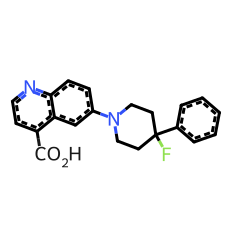 O=C(O)c1ccnc2ccc(N3CCC(F)(c4ccccc4)CC3)cc12